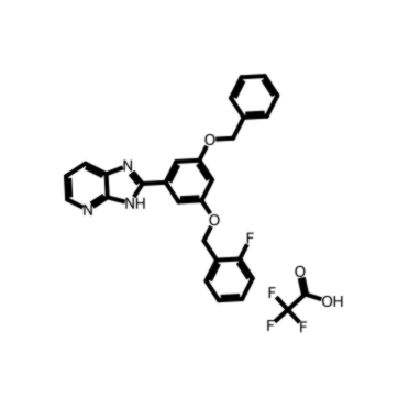 Fc1ccccc1COc1cc(OCc2ccccc2)cc(-c2nc3cccnc3[nH]2)c1.O=C(O)C(F)(F)F